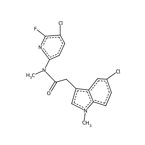 CN(C(=O)Cc1cn(C)c2ccc(Cl)cc12)c1ccc(Cl)c(F)n1